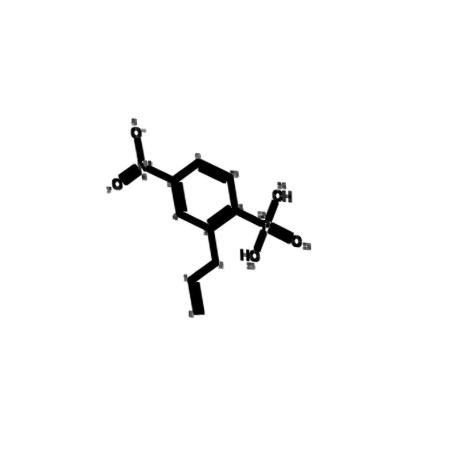 C=CCc1cc([N+](=O)[O-])ccc1P(=O)(O)O